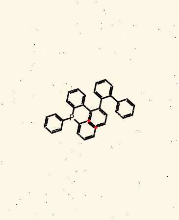 c1ccc(-c2ccccc2-c2ccccc2-c2ccccc2P(c2ccccc2)c2ccccc2)cc1